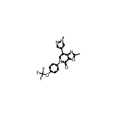 Cc1nc2c(-c3cnn(C)c3)cn(-c3ccc(OC(F)(F)F)cc3)c(=O)c2o1